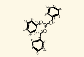 c1ccc(CO[Si](Oc2ccccc2)Oc2ccccc2)cc1